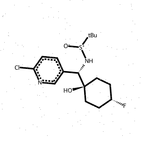 CC(C)(C)[S+]([O-])N[C@@H](c1ccc(Cl)nc1)[C@]1(O)CC[C@H](F)CC1